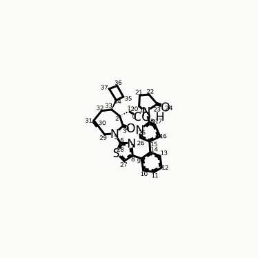 O=C(O)C[C@@H]1C(=O)N(c2nc(-c3ccccc3-c3ccc(N4CCCC4=O)nc3)cs2)CC=CC[C@H]1C1CCC1